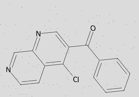 O=C(c1ccccc1)c1cnc2cnccc2c1Cl